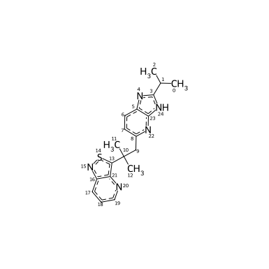 CC(C)c1nc2ccc(CC(C)(C)c3snc4cccnc34)nc2[nH]1